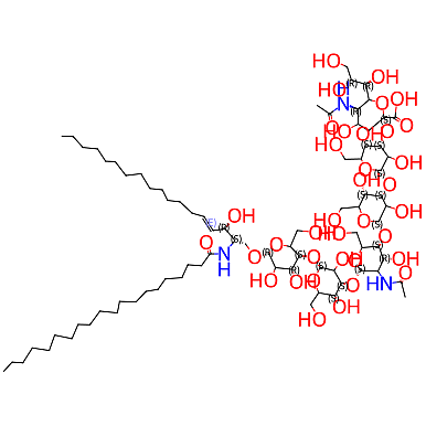 CCCCCCCCCCCCC/C=C/[C@@H](O)[C@H](CO[C@@H]1OC(CO)[C@@H](O[C@@H]2OC(CO)[C@H](O)[C@H](O[C@@H]3OC(CO)[C@@H](O[C@@H]4OC(CO)[C@H](O)[C@H](O[C@@H]5OC(CO)[C@H](O)[C@H](O[C@]6(C(=O)O)CC(O)[C@@H](NC(C)=O)C([C@H](O)[C@H](O)CO)O6)C5O)C4O)[C@H](O)C3NC(C)=O)C2O)[C@H](O)C1O)NC(=O)CCCCCCCCCCCCCCCCCCC